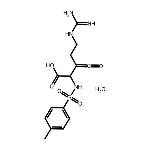 Cc1ccc(S(=O)(=O)NC(C(=O)O)C(=C=O)CCNC(=N)N)cc1.O